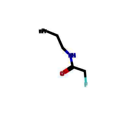 CCCCCNC(=O)CF